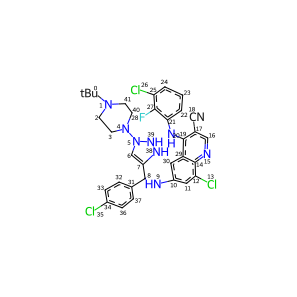 CC(C)(C)N1CCN(N2C=C([C@@H](Nc3cc(Cl)c4ncc(C#N)c(Nc5cccc(Cl)c5F)c4c3)c3ccc(Cl)cc3)NN2)CC1